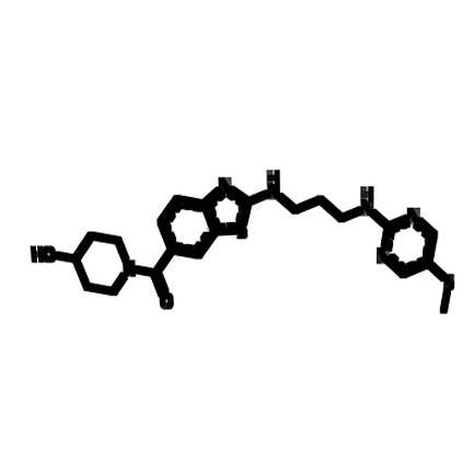 CSc1cnc(NCCCNc2nc3ccc(C(=O)N4CCC(O)CC4)cc3s2)nc1